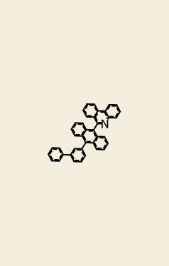 c1ccc(-c2cccc(-c3c4ccccc4c(-c4nc5ccccc5c5ccccc45)c4ccccc34)c2)cc1